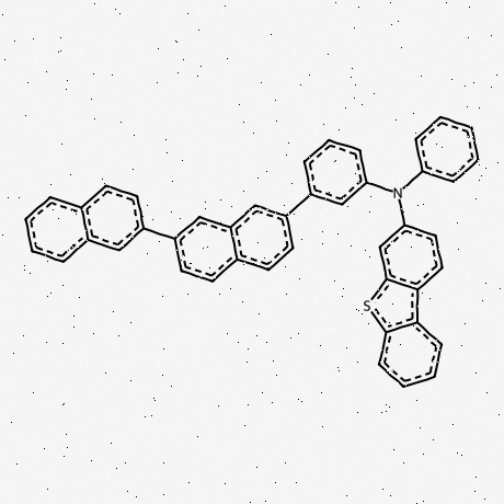 c1ccc(N(c2cccc(-c3ccc4ccc(-c5ccc6ccccc6c5)cc4c3)c2)c2ccc3c(c2)sc2ccccc23)cc1